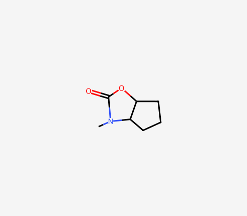 CN1C(=O)OC2CCCC21